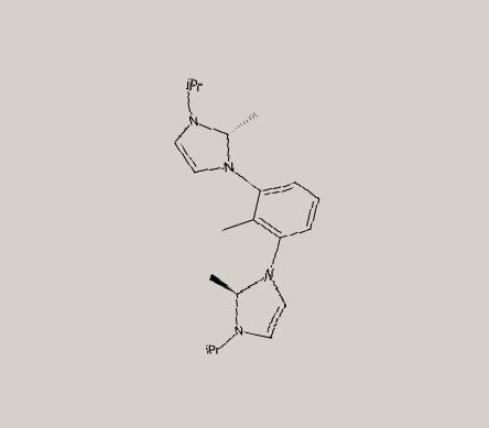 Cc1c(N2C=CN(C(C)C)[C@@H]2C)cccc1N1C=CN(C(C)C)[C@H]1C